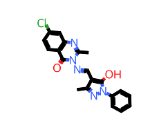 Cc1nn(-c2ccccc2)c(O)c1/C=N/n1c(C)nc2cc(Cl)ccc2c1=O